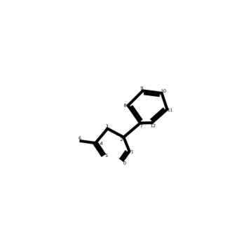 C=C[C](CC(=C)C)c1ccccc1